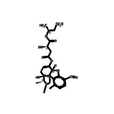 COc1ccc(C)c2c1O[C@H]1C(OC(=O)C[C@H](O)C(=O)O[C@H](CC(=O)O)C(=O)O)=CC[C@@]3(O)[C@@H](C)N(C)CC[C@]213